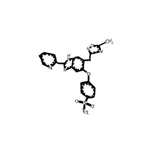 CCS(=O)(=O)c1ccc(Oc2cc3nc(-c4ccccn4)[nH]c3cc2Cc2noc(C)n2)cc1